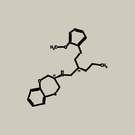 CCC[C@@H](CN[C@@H]1COc2ccccc2SC1)CSc1ccccc1OC